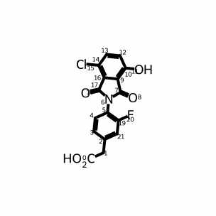 O=C(O)Cc1ccc(N2C(=O)c3c(O)ccc(Cl)c3C2=O)c(F)c1